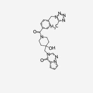 Cc1nnnn1Cc1ccc(C(=O)N2CCC(O)(Cn3cnn4cccc4c3=O)CC2)cc1